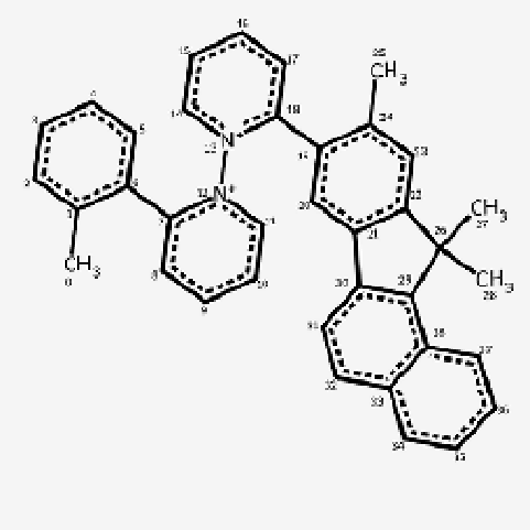 Cc1ccccc1-c1cccc[n+]1-[n+]1ccccc1-c1cc2c(cc1C)C(C)(C)c1c-2ccc2ccccc12